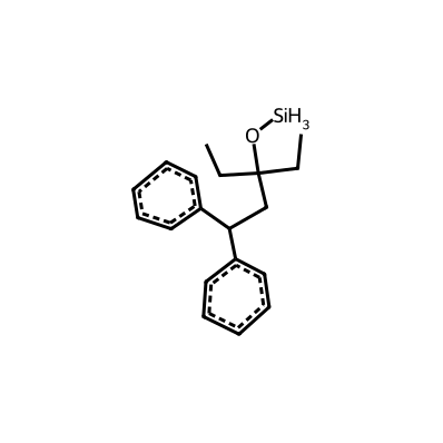 CCC(CC)(CC(c1ccccc1)c1ccccc1)O[SiH3]